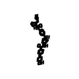 N#CCn1cccc1C(=O)Nc1ccc(Nc2ccc(NC(=O)c3ccc(N4CCC(O)CC4)cc3)cc2)cc1